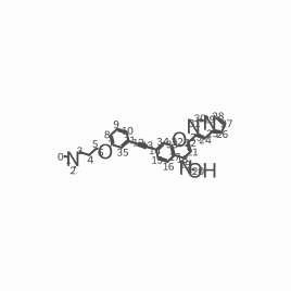 CN(C)CCCOc1cccc(C#Cc2ccc3/c(=N/O)cc(-c4cc5cccn5cn4)oc3c2)c1